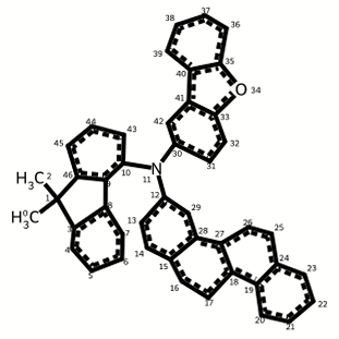 CC1(C)c2ccccc2-c2c(N(c3ccc4ccc5c6ccccc6ccc5c4c3)c3ccc4oc5ccccc5c4c3)cccc21